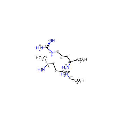 CSCC[C@H](N)C(=O)O.N=C(N)NCCC[C@H](N)C(=O)O.NCC(=O)O